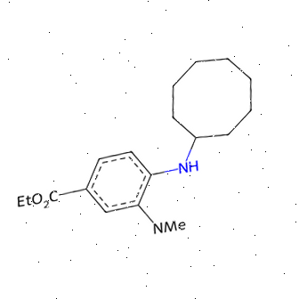 CCOC(=O)c1ccc(NC2CCCCCCC2)c(NC)c1